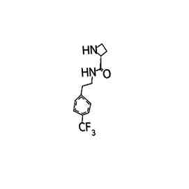 O=C(NCCc1ccc(C(F)(F)F)cc1)[C@@H]1CCN1